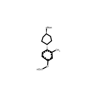 CCCCCCCCC[C@H]1CC[C@H](c2ccc(OCCCCCCCC)cc2C)CC1